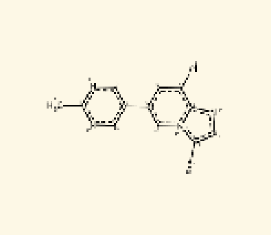 Cc1ncc(-c2cc(Cl)c3ncc(Br)n3c2)cn1